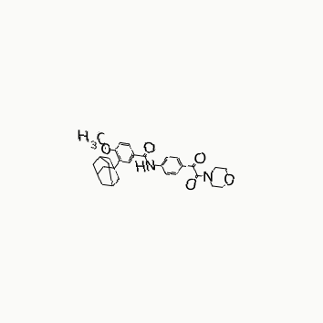 COc1ccc(C(=O)Nc2ccc(C(=O)C(=O)N3CCOCC3)cc2)cc1C12CC3CC(CC(C3)C1)C2